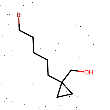 OCC1(CCCCCBr)CC1